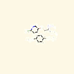 C[C@H](N)COc1ccc(Cl)nc1.Cc1ccc(S(=O)(=O)O)cc1